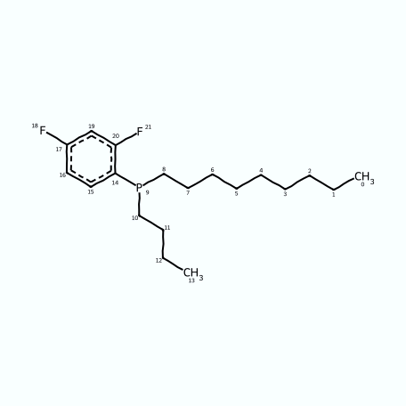 CCCCCCCCCP(CCCC)c1ccc(F)cc1F